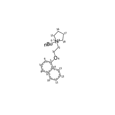 CCCC[N+]1(CCOc2cccc3ccccc23)CCCC1